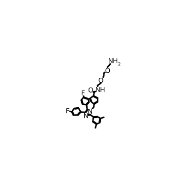 Cc1cc(C)cc(-c2nc(-c3ccc(F)cc3)c(-c3ccc(F)cc3)n2Cc2ccc(C(=O)NCCOCCOCCN)cc2)c1